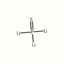 [Li][P]([Li])([Li])=S